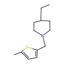 CCC1CCN(Cc2ccc(C)s2)CC1